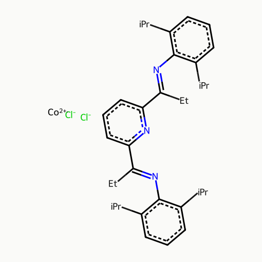 CCC(=Nc1c(C(C)C)cccc1C(C)C)c1cccc(C(CC)=Nc2c(C(C)C)cccc2C(C)C)n1.[Cl-].[Cl-].[Co+2]